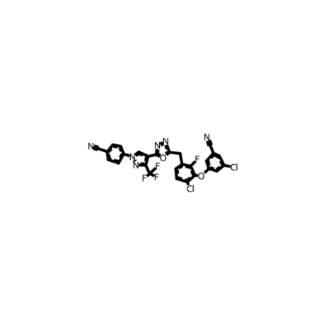 N#Cc1ccc(-n2cc(-c3nnc(Cc4ccc(Cl)c(Oc5cc(Cl)cc(C#N)c5)c4F)o3)c(C(F)(F)F)n2)cc1